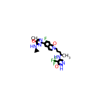 COc1cnc(-c2cc3ccn(CCCC(C)Nc4cn[nH]c(=O)c4C(F)(F)F)c(=O)c3cc2F)nc1NC1CC1